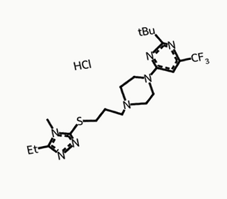 CCc1nnc(SCCCN2CCN(c3cc(C(F)(F)F)nc(C(C)(C)C)n3)CC2)n1C.Cl